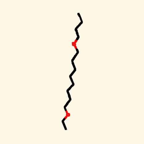 CCCCOCCCCCCCCOCC